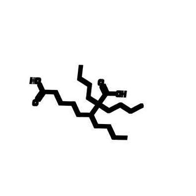 CCCCC(CCCCC(=O)O)C(CCCC)(CCCC)C(=O)O